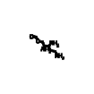 NCCC(N)CCOC=O.[AlH3]